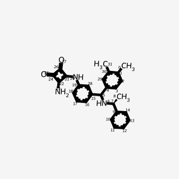 Cc1ccc(C(N[C@@H](C)c2ccccc2)c2cccc(Nc3c(N)c(=O)c3=O)c2)cc1C